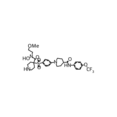 COCCN(O)C(=O)C1(S(=O)(=O)c2ccc(N3CCC(C(=O)Nc4ccc(OC(F)(F)F)cc4)CC3)cc2)CCNCC1